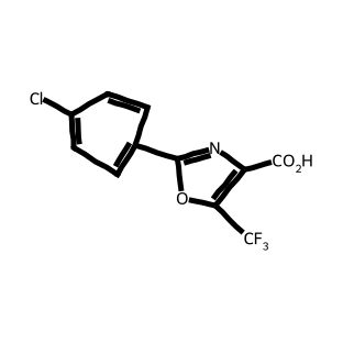 O=C(O)c1nc(-c2ccc(Cl)cc2)oc1C(F)(F)F